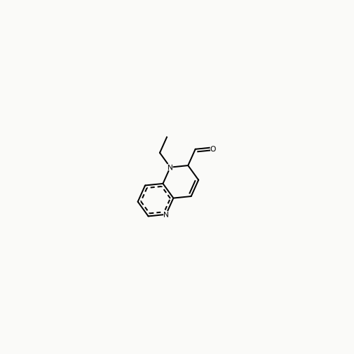 CCN1c2cccnc2C=CC1C=O